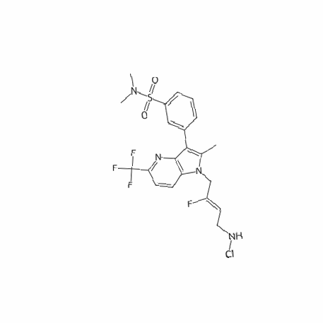 Cc1c(-c2cccc(S(=O)(=O)N(C)C)c2)c2nc(C(F)(F)F)ccc2n1C/C(F)=C/CNCl